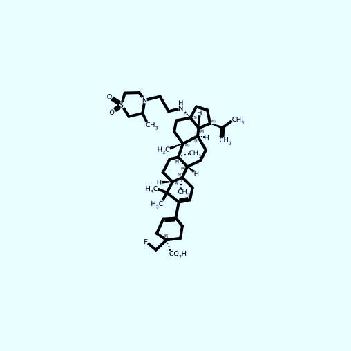 C=C(C)[C@@H]1CC[C@]2(NCCN3CCS(=O)(=O)CC3C)CC[C@]3(C)[C@H](CC[C@@H]4[C@@]5(C)CC=C(C6=CC[C@@](CF)(C(=O)O)CC6)C(C)(C)[C@@H]5CC[C@]43C)[C@@H]12